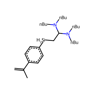 C=C(C)c1ccc([SiH2]CC(N(CCCC)CCCC)N(CCCC)CCCC)cc1